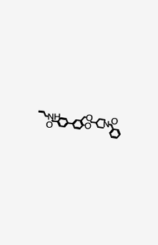 C=CCNC(=O)c1ccc(-c2ccc3c(c2)COC(C2CCN(C(=O)c4ccccc4)CC2)O3)cc1